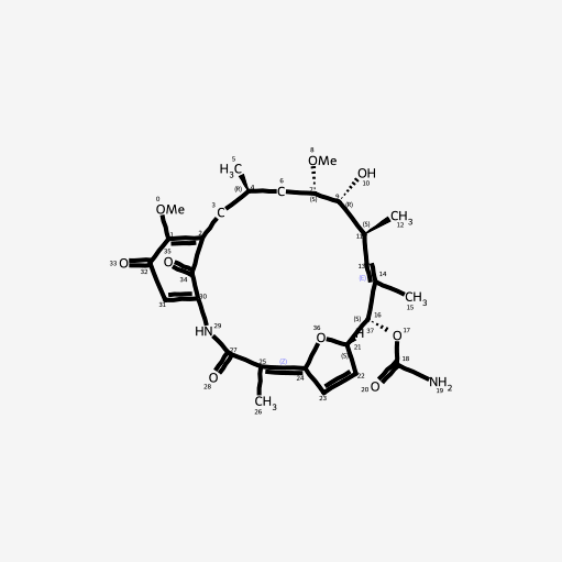 COC1=C2C[C@@H](C)C[C@H](OC)[C@H](O)[C@@H](C)/C=C(\C)[C@H](OC(N)=O)[C@@H]3C=C/C(=C(\C)C(=O)NC(=CC1=O)C2=O)O3